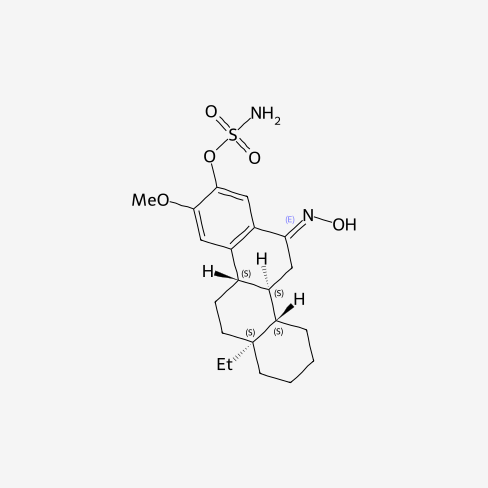 CC[C@@]12CCCC[C@H]1[C@@H]1C/C(=N\O)c3cc(OS(N)(=O)=O)c(OC)cc3[C@H]1CC2